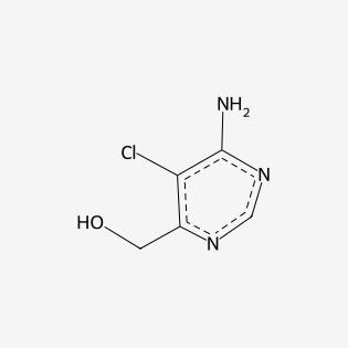 Nc1ncnc(CO)c1Cl